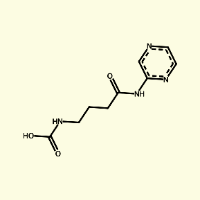 O=C(O)NCCCC(=O)Nc1cnccn1